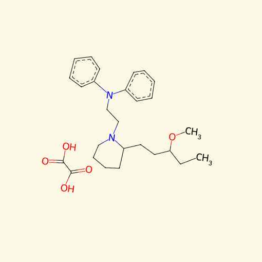 CCC(CCC1CCCCN1CCN(c1ccccc1)c1ccccc1)OC.O=C(O)C(=O)O